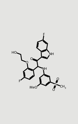 COc1cc(NC(C(=O)c2c[nH]c3cc(F)ccc23)c2ccc(F)cc2OCCO)cc(S(C)(=O)=O)c1